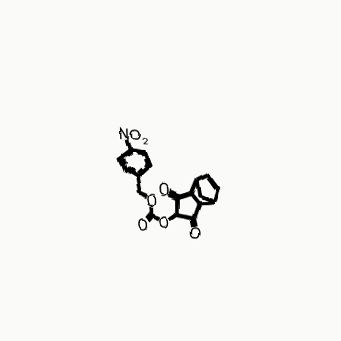 O=C(OCc1ccc([N+](=O)[O-])cc1)OC1C(=O)C2C3C=CC(C3)C2C1=O